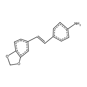 Nc1ccc(C=Cc2ccc3c(c2)OCO3)cc1